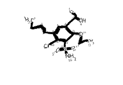 CCCCc1cc(C(=O)O)c(OCC)c(S(N)(=O)=O)c1Cl